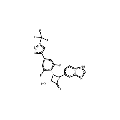 O=C1[C@H](O)[C@H](c2c(F)cc(-c3cnn(C(F)(F)F)c3)cc2F)N1c1ccc2[nH]cnc2c1